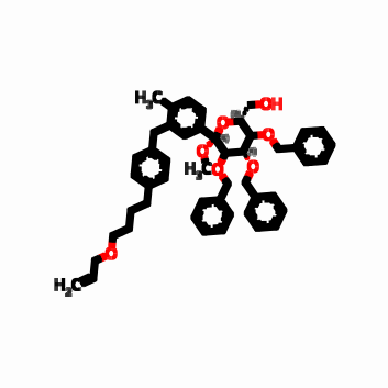 C=CCOCCCCc1ccc(Cc2cc([C@]3(OC)O[C@H](CO)C(OCc4ccccc4)[C@H](OCc4ccccc4)C3OCc3ccccc3)ccc2C)cc1